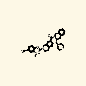 COc1cc(C#N)ccc1OC(=O)N1CCc2ccc(C(=O)N3Cc4ccccc4C[C@H]3CN3CCOCC3)cc2C1